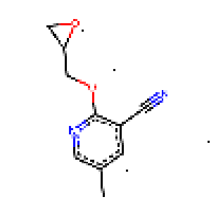 Cc1cnc(OCC2CO2)c(C#N)c1